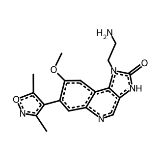 COc1cc2c(cc1-c1c(C)noc1C)ncc1[nH]c(=O)n(CCN)c12